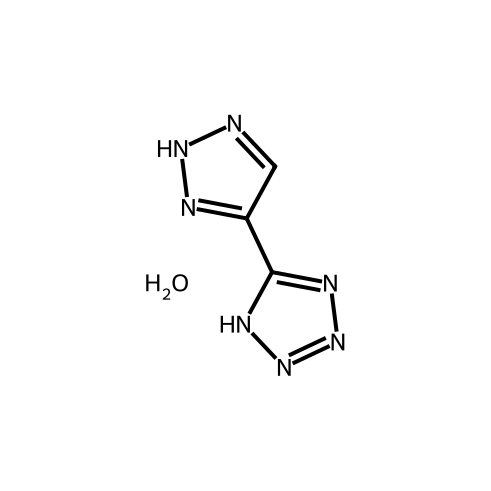 O.c1n[nH]nc1-c1nnn[nH]1